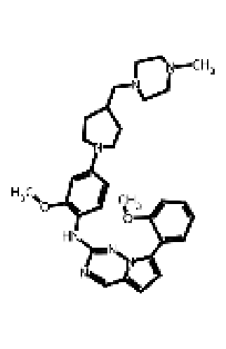 COc1cc(N2CCC(CN3CCN(C)CC3)CC2)ccc1Nc1ncc2ccc(-c3ccccc3OC)n2n1